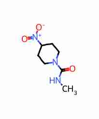 CNC(=O)N1CCC([N+](=O)[O-])CC1